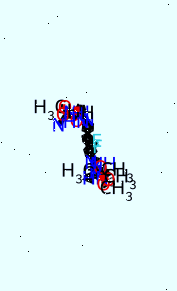 COC(=O)N[C@@H](CCC#N)C(=O)N1[C@@H]2CC[C@@H](C2)[C@H]1c1nc2ccc(-c3ccc4c(c3)C(F)(F)c3cc(-c5c[nH]c([C@H](C)N(CC6(C)CC6)C(=O)[C@@H](NC(=O)OC)C(C)C)n5)ccc3-4)cc2[nH]1